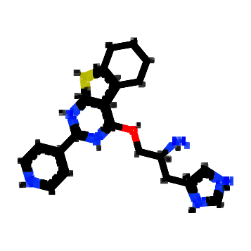 N[C@H](COc1nc(-c2ccncc2)nc2sc3c(c12)CCCC3)Cc1c[nH]cn1